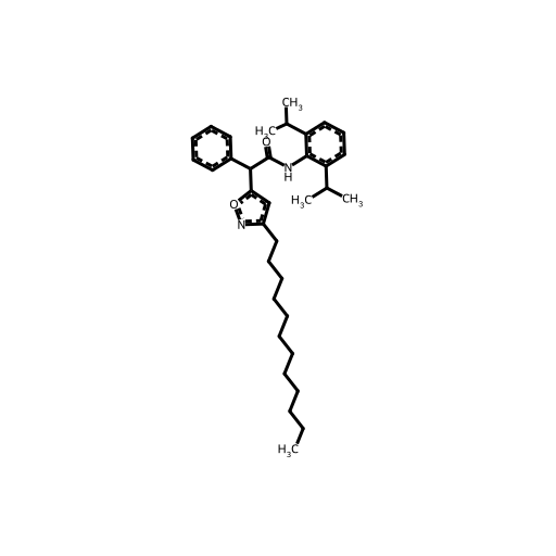 CCCCCCCCCCCCc1cc(C(C(=O)Nc2c(C(C)C)cccc2C(C)C)c2ccccc2)on1